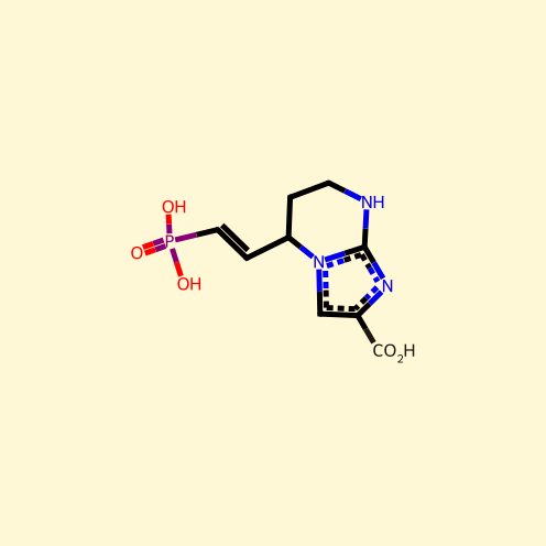 O=C(O)c1cn2c(n1)NCCC2C=CP(=O)(O)O